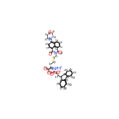 O=C(N[C@@H](CCSCN1C(=O)c2cccc3c(N4CCOCC4)ccc(c23)C1=O)C(=O)O)OCC1c2ccccc2-c2ccccc21